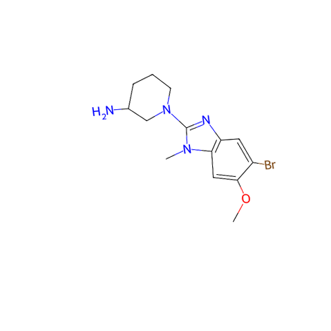 COc1cc2c(cc1Br)nc(N1CCCC(N)C1)n2C